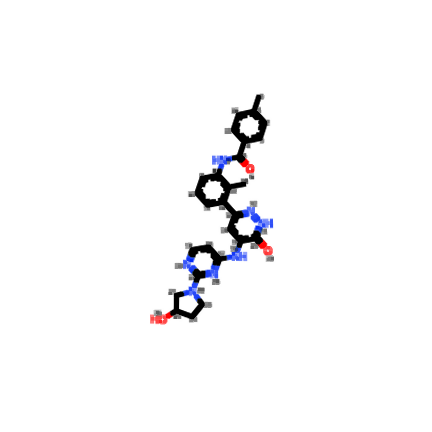 Cc1ccc(C(=O)Nc2cccc(-c3cc(Nc4ccnc(N5CCC(O)C5)n4)c(=O)[nH]n3)c2C)cc1